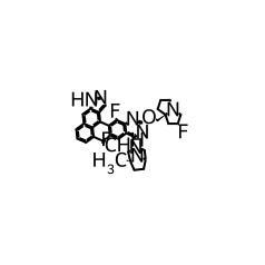 C#Cc1cccc2cc3[nH]ncc3c(-c3c(F)cc4c(N5CC6CC[C@@](C)(C5)N6)nc(OC[C@@]56CCCN5C[C@H](F)C6)nc4c3F)c12